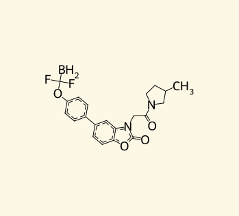 BC(F)(F)Oc1ccc(-c2ccc3oc(=O)n(CC(=O)N4CCC(C)C4)c3c2)cc1